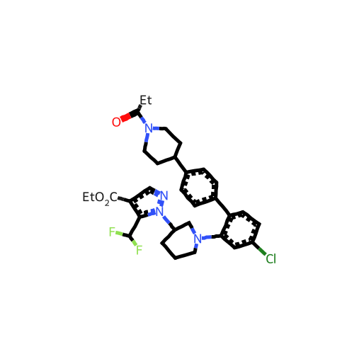 CCOC(=O)c1cnn(C2CCCN(c3cc(Cl)ccc3-c3ccc(C4CCN(C(=O)CC)CC4)cc3)C2)c1C(F)F